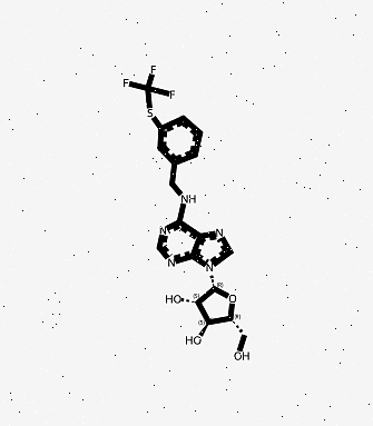 OC[C@H]1O[C@@H](n2cnc3c(NCc4cccc(SC(F)(F)F)c4)ncnc32)[C@@H](O)[C@@H]1O